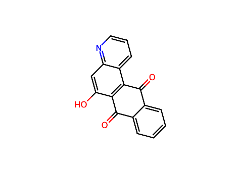 O=C1c2ccccc2C(=O)c2c1c(O)cc1ncccc21